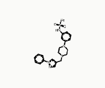 CC(C)S(=O)(=O)Nc1cccc(N2CCN(Cc3cnn(-c4ccccc4)c3)CC2)c1